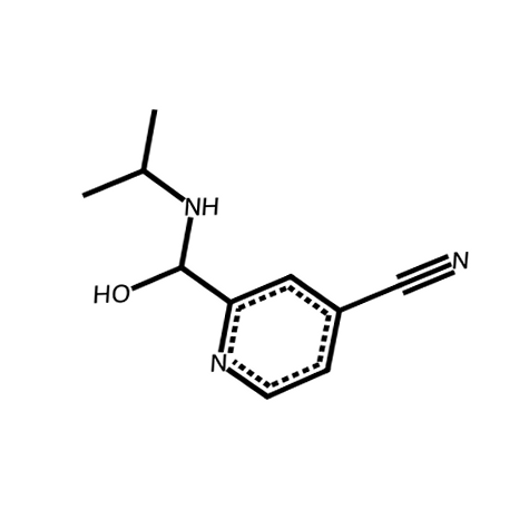 CC(C)NC(O)c1cc(C#N)ccn1